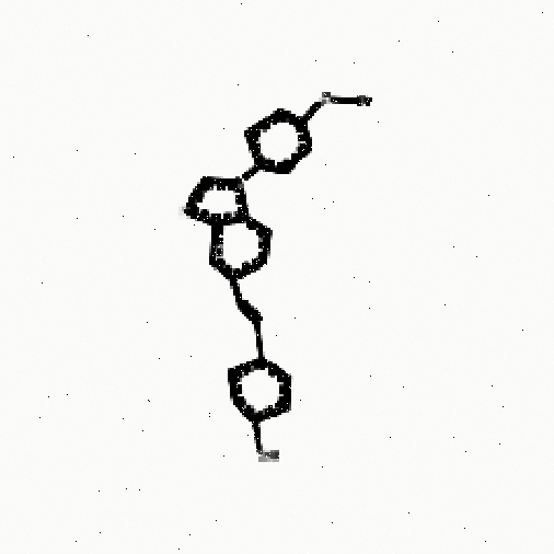 CC(C)Oc1ccc(-n2cnc3cc(/C=C/c4ccc(C(C)(C)C)cc4)ccc32)cc1